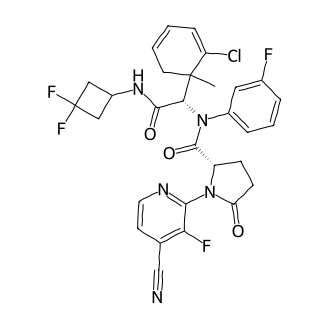 CC1([C@@H](C(=O)NC2CC(F)(F)C2)N(C(=O)[C@@H]2CCC(=O)N2c2nccc(C#N)c2F)c2cccc(F)c2)CC=CC=C1Cl